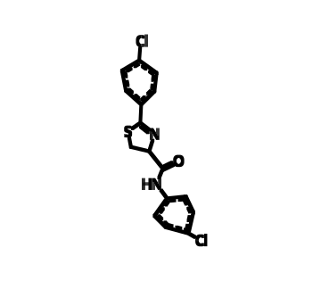 O=C(Nc1ccc(Cl)cc1)C1CSC(c2ccc(Cl)cc2)=N1